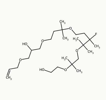 C=CCOCC(O)COCCC(C)(C)OCCC(C)(F)C(C)(C)OCC(C)(C)OCCO